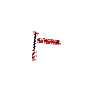 CCCCCCCCCCC[CH]C(=O)O.O=CO.O=CO.O=CO.O=CO.O=CO.O=CO.O=CO.O=CO.O=CO.O=CO.O=CO.O=CO.O=CO.O=CO.O=CO.O=CO